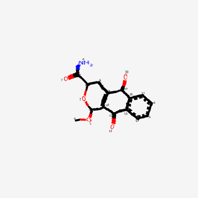 COC1OC(C(N)=O)CC2=C1C(=O)c1ccccc1C2=O